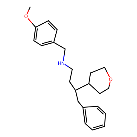 COc1ccc(CNCCC(Cc2ccccc2)C2CCOCC2)cc1